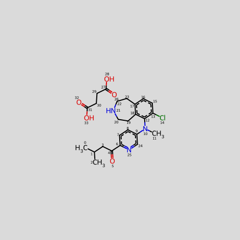 CC(C)CC(=O)c1ccc(N(C)c2c(Cl)ccc3c2CCNCC3)cn1.O=C(O)CCC(=O)O